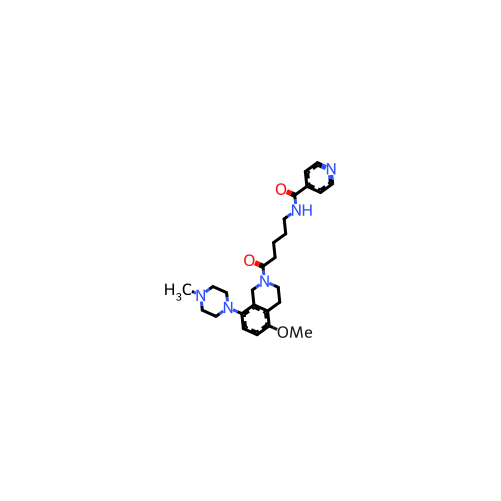 COc1ccc(N2CCN(C)CC2)c2c1CCN(C(=O)CCCCNC(=O)c1ccncc1)C2